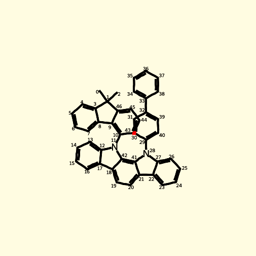 CC1(C)c2ccccc2-c2c(-n3c4ccccc4c4ccc5c6ccccc6n(-c6ccc(-c7ccccc7)cc6)c5c43)cccc21